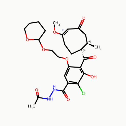 CO/C1=C/C(=O)C[C@@H](C)[C@H](C(=O)c2c(OCCOC3CCCCO3)cc(C(=O)NNC(C)=O)c(Cl)c2O)CC1